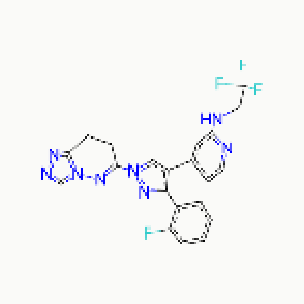 Fc1ccccc1-c1nn(C2=Nn3cnnc3CC2)cc1-c1ccnc(NCC(F)(F)F)c1